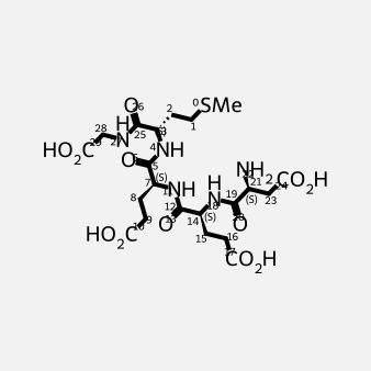 CSCC[C@H](NC(=O)[C@H](CCC(=O)O)NC(=O)[C@H](CCC(=O)O)NC(=O)[C@@H](N)CC(=O)O)C(=O)NCC(=O)O